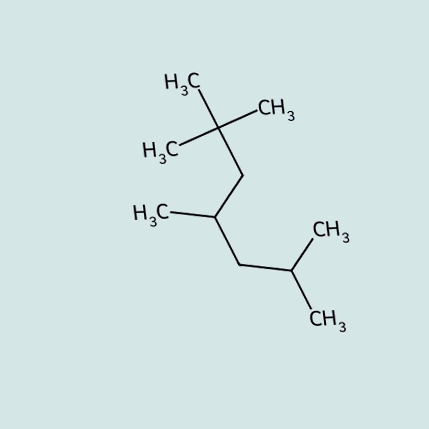 CC(C)CC(C)CC(C)(C)C